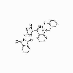 N=C(c1nc(CN2C(=O)c3ccccc3C2=O)n[nH]1)c1cccnc1NCc1ccccc1F